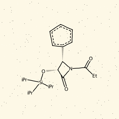 CCC(=O)N1C(=O)[C@H](O[Si](C(C)C)(C(C)C)C(C)C)[C@@H]1c1ccccc1